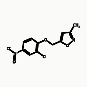 Cc1cc(COc2ccc([N+](=O)[O-])cc2Cl)on1